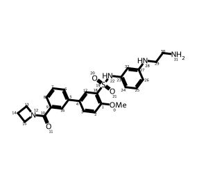 COc1ccc(-c2cccc(C(=O)N3CCC3)c2)cc1S(=O)(=O)Nc1cccc(NCCN)c1